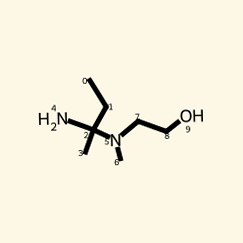 CCC(C)(N)N(C)CCO